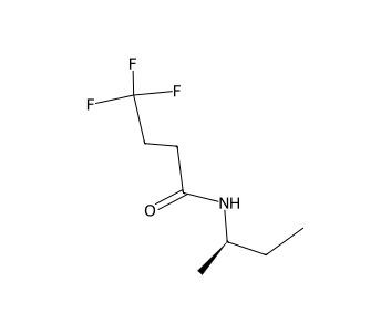 CC[C@@H](C)NC(=O)CCC(F)(F)F